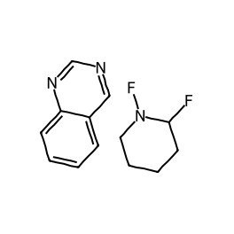 FC1CCCCN1F.c1ccc2ncncc2c1